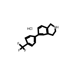 Cl.FC(F)(F)c1ccc(-c2ccc3c(c2)CCNC3)cc1